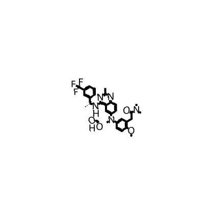 COc1ccc(N(C)c2ccc3nc(C)nc(N[C@H](C)c4cccc(C(F)(F)F)c4)c3c2)cc1CC(=O)N(C)C.O=CO